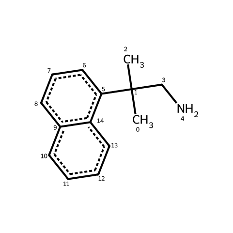 CC(C)(CN)c1cccc2ccccc12